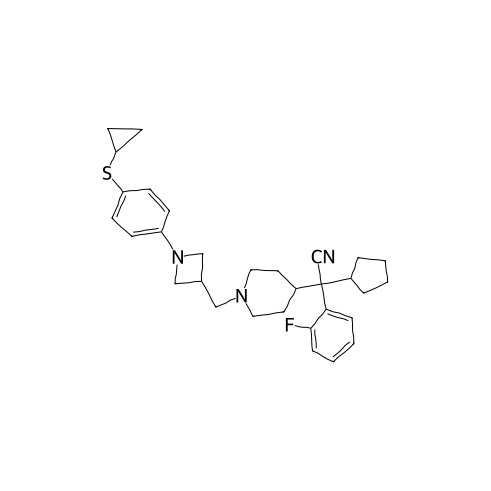 N#CC(c1ccccc1F)(C1CCCC1)C1CCN(CC2CN(c3ccc(SC4CC4)cc3)C2)CC1